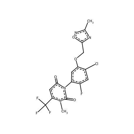 Cc1noc(COc2cc(-n3c(=O)cc(C(F)(F)F)n(C)c3=O)c(F)cc2Cl)n1